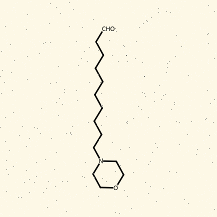 O=[C]CCCCCCCCCN1CCOCC1